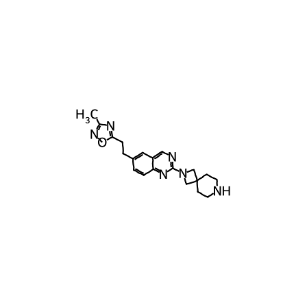 Cc1noc(CCc2ccc3nc(N4CC5(CCNCC5)C4)ncc3c2)n1